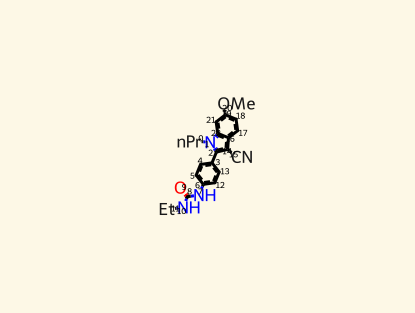 CCCn1c(-c2ccc(NC(=O)NCC)cc2)c(C#N)c2ccc(OC)cc21